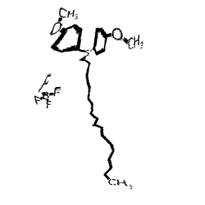 CCCCCCCCCCCCCCCC[S+](c1ccc(OC)cc1)c1ccc(OC)cc1.F[B-](F)(F)F